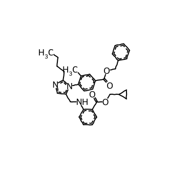 CCCCc1ncc(CNc2ccccc2C(=O)OCC2CC2)n1-c1ccc(C(=O)OCc2ccccc2)cc1C